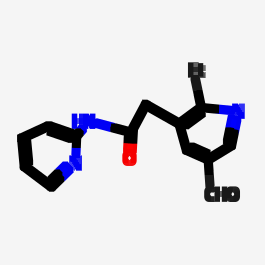 CCc1ncc(C=O)cc1CC(=O)Nc1ccccn1